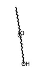 CCCCCCCCCCCCCCCC(=O)OCCCCCCCCCCCCCCCO